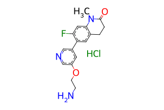 CN1C(=O)CCc2cc(-c3cncc(OCCN)c3)c(F)cc21.Cl